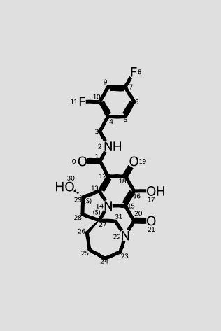 O=C(NCc1ccc(F)cc1F)c1c2n3c(c(O)c1=O)C(=O)N1CCCC[C@]3(C[C@@H]2O)C1